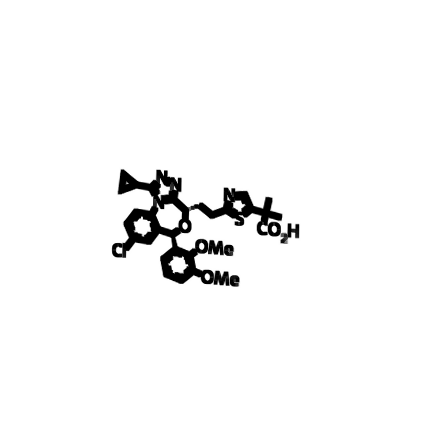 COc1cccc([C@@H]2O[C@@H](CCc3ncc(C(C)(C)C(=O)O)s3)c3nnc(C4CC4)n3-c3ccc(Cl)cc32)c1OC